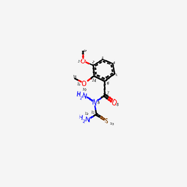 COc1cccc(C(=O)N(N)C(N)=S)c1OC